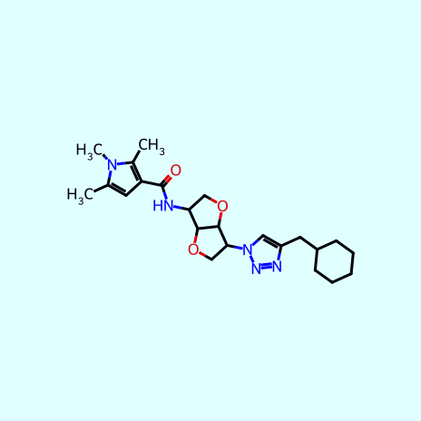 Cc1cc(C(=O)NC2COC3C2OCC3n2cc(CC3CCCCC3)nn2)c(C)n1C